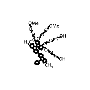 COCCOCCOCCOc1ccc(C2(c3ccc(COCCOCCOCCO)c(COCCOCCOCCO)c3)c3cc(C)ccc3-c3ccc(-c4ccc5c(c4)C(c4ccccc4)c4cc(C)ccc4-5)cc32)cc1OCCOCCOCCOC